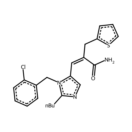 CCCCc1ncc(C=C(Cc2cccs2)C(N)=O)n1Cc1ccccc1Cl